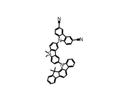 CC1(C)c2ccccc2-c2ccc3c4ccccc4n(-c4ccc5c(c4)-c4cc(-n6c7ccc(C#N)cc7c7cc(C#N)ccc76)ccc4[Si]5(C)C)c3c21